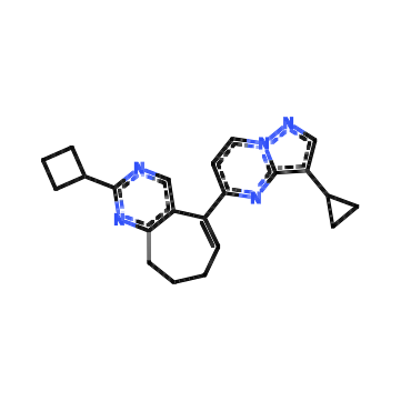 C1=C(c2ccn3ncc(C4CC4)c3n2)c2cnc(C3CCC3)nc2CCC1